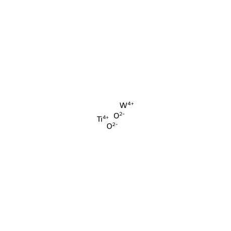 [O-2].[O-2].[Ti+4].[W+4]